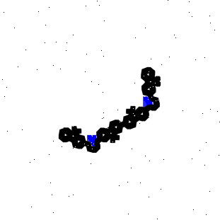 CC1(C)c2ccccc2-c2ccc(-c3cccc(-c4ccc5c(c4)C(C)(C)c4cc(-c6ccc7c(c6)C(C)(C)c6cc(-c8cccc(-c9ccc%10c(c9)C(C)(C)c9ccccc9-%10)n8)ccc6-7)ccc4-5)n3)cc21